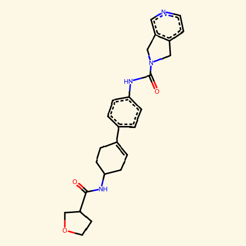 O=C(NC1CC=C(c2ccc(NC(=O)N3Cc4ccncc4C3)cc2)CC1)C1CCOC1